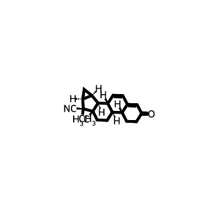 C[C@]1(C#N)[C@H]2C[C@H]2[C@H]2[C@@H]3C=CC4=CC(=O)CC[C@@H]4[C@H]3CC[C@@]21C